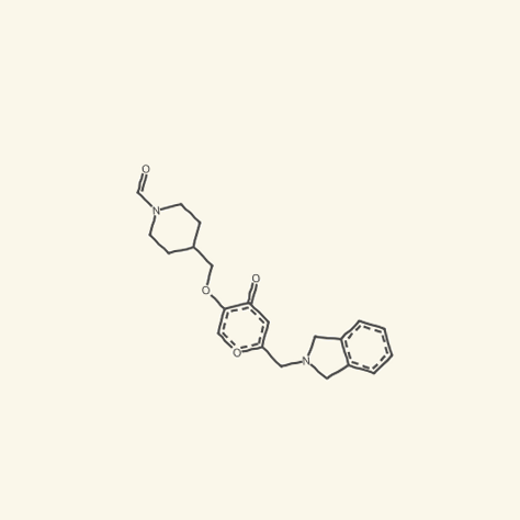 O=CN1CCC(COc2coc(CN3Cc4ccccc4C3)cc2=O)CC1